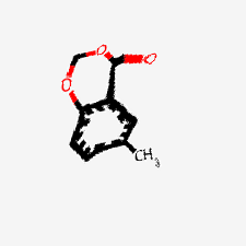 Cc1ccc2c(c1)C(=O)OCO2